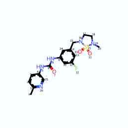 Cc1ccc(NC(=O)Nc2cc(F)cc(CN3CCN(C)S3(=O)=O)c2)cn1